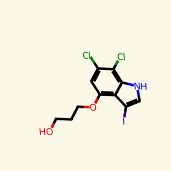 OCCCOc1cc(Cl)c(Cl)c2[nH]cc(I)c12